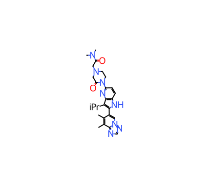 Cc1c(-c2[nH]c3ccc(N4CCN(CC(=O)N(C)C)CC4=O)nc3c2C(C)C)cn2ncnc2c1C